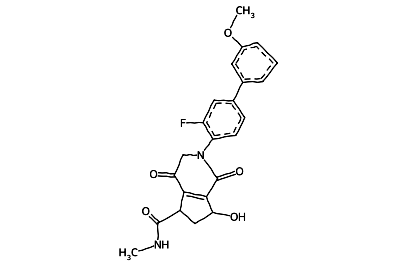 CNC(=O)C1CC(O)C2=C1C(=O)CN(c1ccc(-c3cccc(OC)c3)cc1F)C2=O